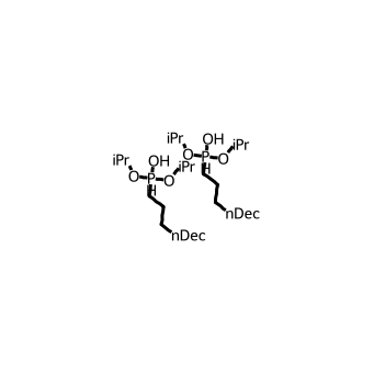 CCCCCCCCCCCCC[PH](O)(OC(C)C)OC(C)C.CCCCCCCCCCCCC[PH](O)(OC(C)C)OC(C)C